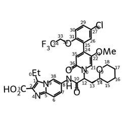 CCc1c(C(=O)O)nc2ccc(NC(=O)C(C[C@@H]3CCCCO3)n3cc(OC)c(-c4cc(Cl)ccc4OCC(F)(F)F)cc3=O)cn12